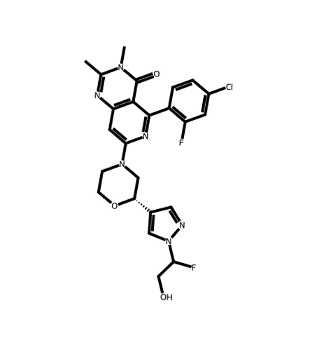 Cc1nc2cc(N3CCO[C@@H](c4cnn(C(F)CO)c4)C3)nc(-c3ccc(Cl)cc3F)c2c(=O)n1C